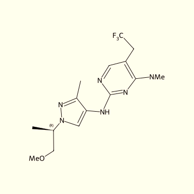 CNc1nc(Nc2cn([C@H](C)COC)nc2C)ncc1CC(F)(F)F